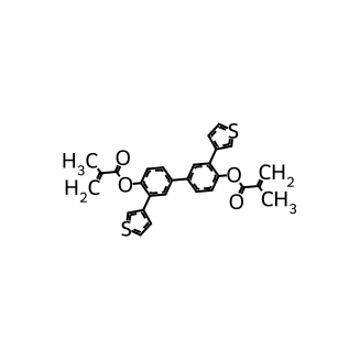 C=C(C)C(=O)Oc1ccc(-c2ccc(OC(=O)C(=C)C)c(-c3ccsc3)c2)cc1-c1ccsc1